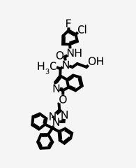 CC(c1cnc(OCc2ncn(C(c3ccccc3)(c3ccccc3)c3ccccc3)n2)c2ccccc12)N(CCCO)C(=O)Nc1ccc(F)c(Cl)c1